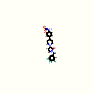 O=C1[C@@H](N2CCC(c3ccc4[nH]c(=O)oc4c3)CC2)CCN1Cc1cc(F)c(F)c(F)c1